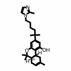 CC1=CC[C@@H]2[C@@H](C1)c1c(O)cc(C(C)(C)CCCCn3ccnc3C)cc1OC2(C)C